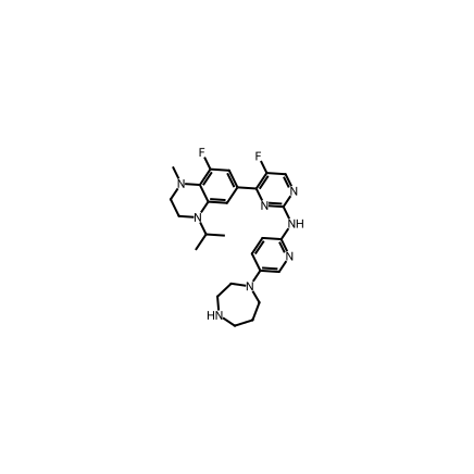 CC(C)N1CCN(C)c2c(F)cc(-c3nc(Nc4ccc(N5CCCNCC5)cn4)ncc3F)cc21